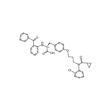 O=C(c1ccccc1)c1ccccc1N[C@@H](Cc1ccc(OCCCN(C(=O)C2CC2)c2ccccc2Cl)cc1)C(=O)O